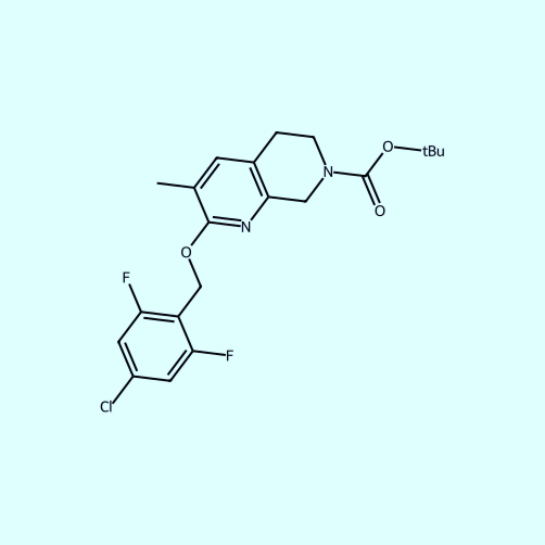 Cc1cc2c(nc1OCc1c(F)cc(Cl)cc1F)CN(C(=O)OC(C)(C)C)CC2